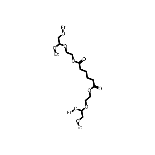 CCOCC(OCC)OCCOC(=O)CCCCC(=O)OCCOC(COCC)OCC